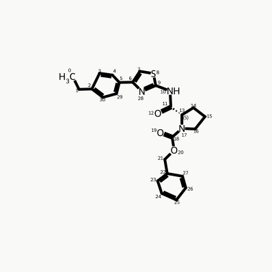 CCc1ccc(-c2csc(NC(=O)[C@@H]3CCCN3C(=O)OCc3ccccc3)n2)cc1